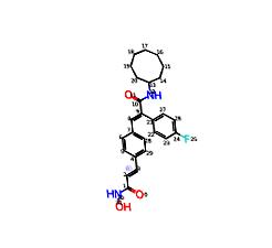 O=C(/C=C/c1ccc(C=C(C(=O)NC2CCCCCCC2)c2ccc(F)cc2)cc1)NO